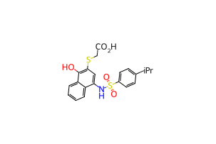 CC(C)c1ccc(S(=O)(=O)Nc2cc(SCC(=O)O)c(O)c3ccccc23)cc1